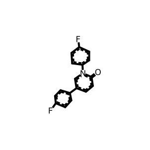 O=c1ccc(-c2ccc(F)cc2)cn1-c1ccc(F)cc1